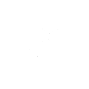 CC(C)C(=O)OSc1ccccc1Cl